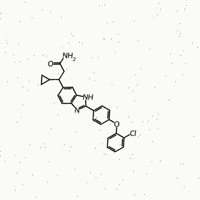 NC(=O)CC(c1ccc2nc(-c3ccc(Oc4ccccc4Cl)cc3)[nH]c2c1)C1CC1